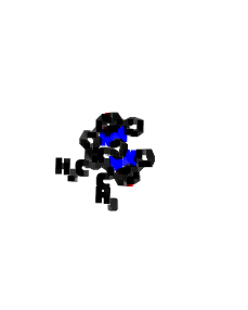 C=CCCc1c(C)c2ccccc2n1-c1c(-n2c3ccccc3c3ccccc32)cc(-n2c3ccccc3c3ccccc32)c(-n2c3ccccc3c3ccccc32)c1C#N